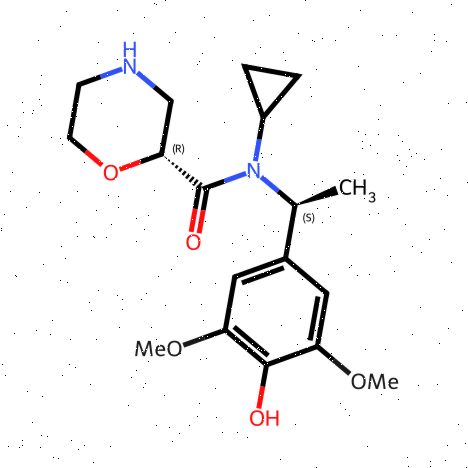 COc1cc([C@H](C)N(C(=O)[C@H]2CNCCO2)C2CC2)cc(OC)c1O